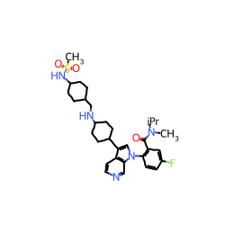 CC(C)N(C)C(=O)c1cc(F)ccc1-n1cc(C2CCC(NCC3CCC(NS(C)(=O)=O)CC3)CC2)c2ccncc21